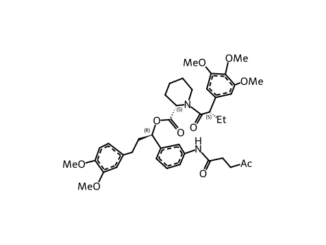 CC[C@H](C(=O)N1CCCC[C@H]1C(=O)O[C@H](CCc1ccc(OC)c(OC)c1)c1cccc(NC(=O)CCC(C)=O)c1)c1cc(OC)c(OC)c(OC)c1